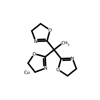 CC(C1=NCCO1)(C1=NCCO1)C1=NCCO1.[Cu]